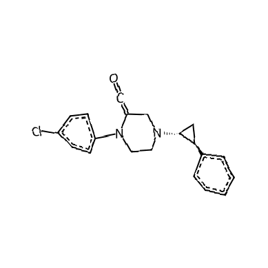 O=C=C1CN([C@@H]2C[C@H]2c2ccccc2)CCN1c1ccc(Cl)cc1